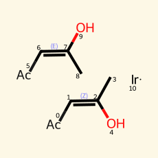 CC(=O)/C=C(/C)O.CC(=O)/C=C(\C)O.[Ir]